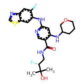 CC(C)(O)[C@H](F)CNC(=O)c1cnc(Nc2cc3scnc3cc2F)cc1NC1CCCOC1